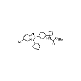 CC(C)(C)OC(=O)NC1(c2ccc(C3N=C4C=CC(C#N)=CN4C3c3ccccc3)cc2)CCC1